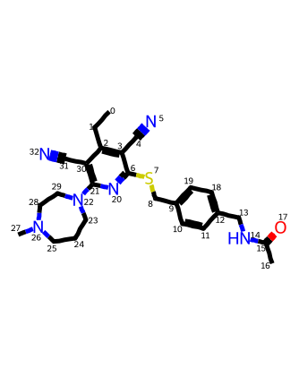 CCc1c(C#N)c(SCc2ccc(CNC(C)=O)cc2)nc(N2CCCN(C)CC2)c1C#N